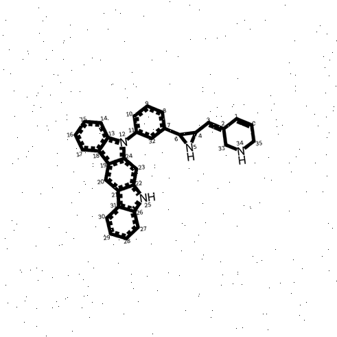 C1=C/C(=C/C2NC2c2cccc(-n3c4ccccc4c4cc5c(cc43)[nH]c3ccccc35)c2)CNC1